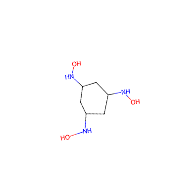 ONC1CC(NO)CC(NO)C1